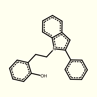 Oc1ccccc1CCn1c(-c2ccccc2)cc2ccccc21